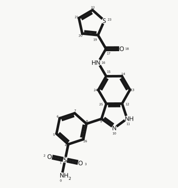 NS(=O)(=O)c1cccc(-c2n[nH]c3ccc(NC(=O)c4cccs4)cc23)c1